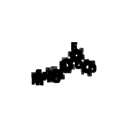 Fc1ccc(OC2CCOCC2)c(C2CCN(C3COC4(C3)CN(c3nncs3)C4)CC2)c1